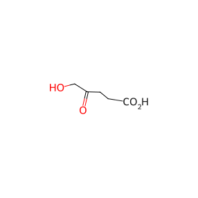 O=C(O)CCC(=O)CO